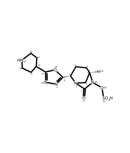 O=C1N2C[C@@H](CC[C@H]2c2nnc(C3CCNCC3)o2)N1OS(=O)(=O)O